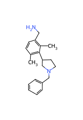 Cc1ccc(CN)c(C)c1C1CCN(Cc2ccccc2)C1